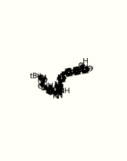 Cc1cc(-c2ncnc3[nH]c4cc(C5CCN(CC6CCN(c7ccc(N8CCC(=O)NC8=O)cc7)CC6)CC5)ncc4c23)ccc1[C@@H](C)NC(=O)c1nc(C(C)(C)C)no1